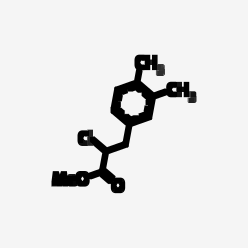 COC(=O)C(Cl)Cc1ccc(C)c(C)c1